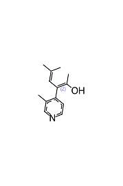 CC(C)=C/C(=C(\C)O)c1ccncc1C